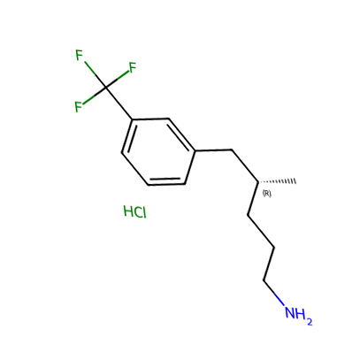 C[C@H](CCCN)Cc1cccc(C(F)(F)F)c1.Cl